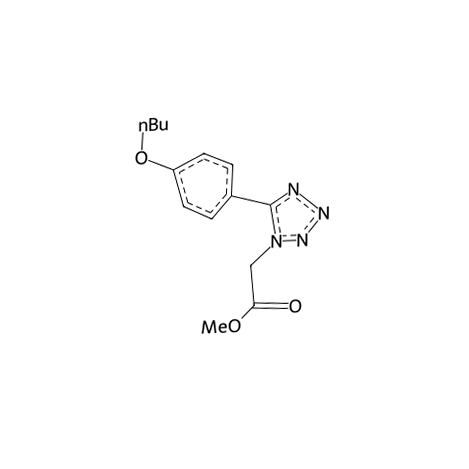 CCCCOc1ccc(-c2nnnn2CC(=O)OC)cc1